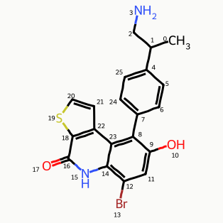 CC(CN)c1ccc(-c2c(O)cc(Br)c3[nH]c(=O)c4sccc4c23)cc1